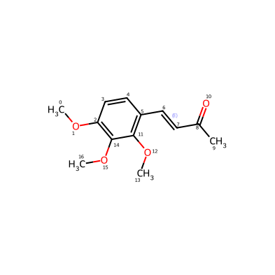 COc1ccc(/C=C/C(C)=O)c(OC)c1OC